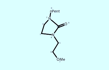 CCCCCN1CCN(CCOC)C1=O